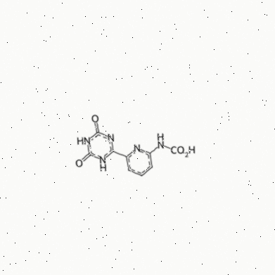 O=C(O)Nc1cccc(-c2nc(=O)[nH]c(=O)[nH]2)n1